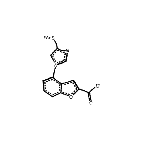 CSc1cn(-c2cccc3oc(C(=O)Cl)cc23)cn1